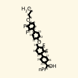 C=CCCOc1ccc(-c2ccc(OCc3ccc(-c4ccc(C(O)CCC)cc4)c(F)c3F)cc2)c(F)c1F